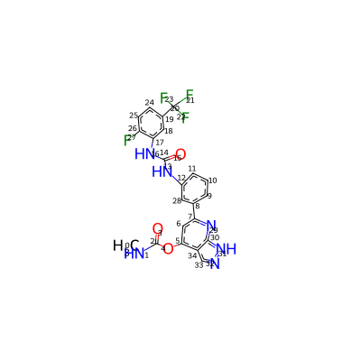 CNC(=O)Oc1cc(-c2cccc(NC(=O)Nc3cc(C(F)(F)F)ccc3F)c2)nc2[nH]ncc12